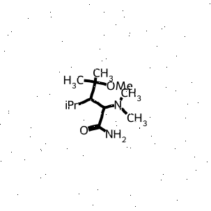 COC(C)(C)C(C(C)C)C(C(N)=O)N(C)C